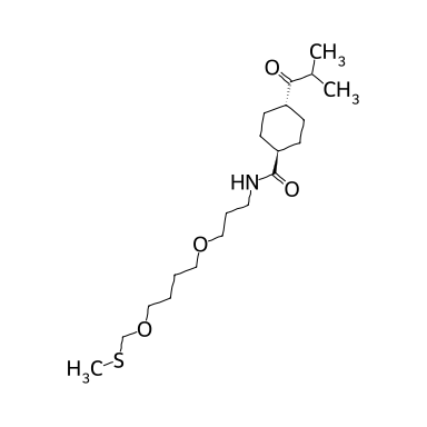 CSCOCCCCOCCCNC(=O)[C@H]1CC[C@H](C(=O)C(C)C)CC1